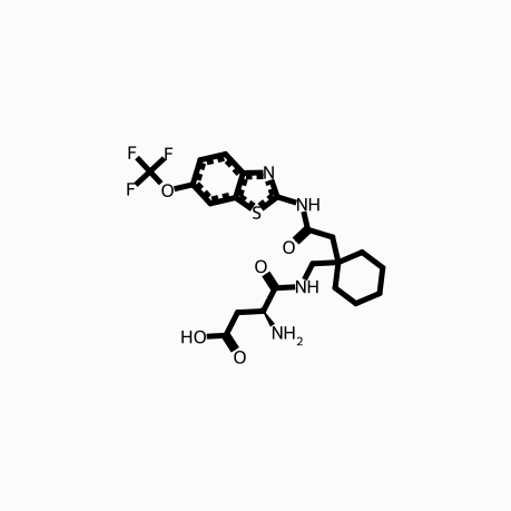 N[C@@H](CC(=O)O)C(=O)NCC1(CC(=O)Nc2nc3ccc(OC(F)(F)F)cc3s2)CCCCC1